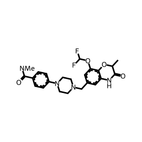 CNC(=O)c1ccc(N2CCN(Cc3cc4c(c(OC(F)F)c3)OC(C)C(=O)N4)CC2)cc1